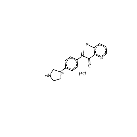 Cl.O=C(Nc1ccc([C@H]2CCNC2)cc1)c1ncccc1F